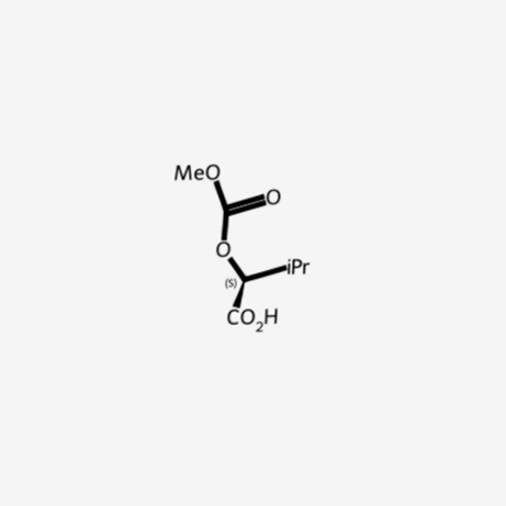 COC(=O)O[C@H](C(=O)O)C(C)C